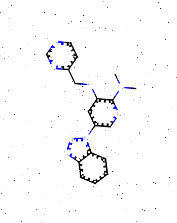 CN(C)c1ncc(-n2nnc3ccccc32)cc1NCc1ccncn1